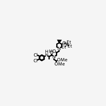 CC[Si](CC)(CC)OC1CN(CC(O)CN(CC(OC)OC)C(=O)C(C)Nc2ccc(Cl)c(Cl)c2)CCC12CC2